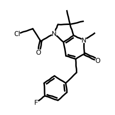 Cn1c2c(cc(Cc3ccc(F)cc3)c1=O)N(C(=O)CCl)CC2(C)C